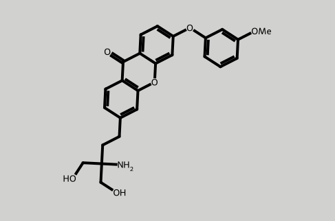 COc1cccc(Oc2ccc3c(=O)c4ccc(CCC(N)(CO)CO)cc4oc3c2)c1